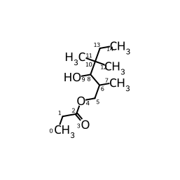 CCC(=O)OCC(C)C(O)C(C)(C)CC